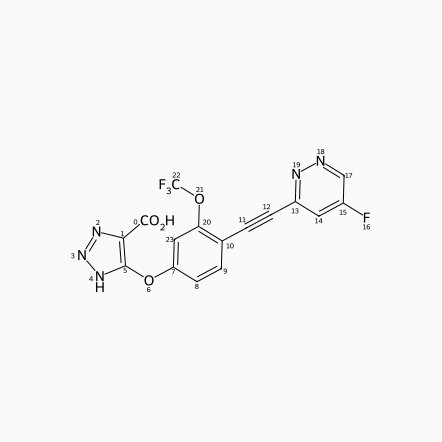 O=C(O)c1nn[nH]c1Oc1ccc(C#Cc2cc(F)cnn2)c(OC(F)(F)F)c1